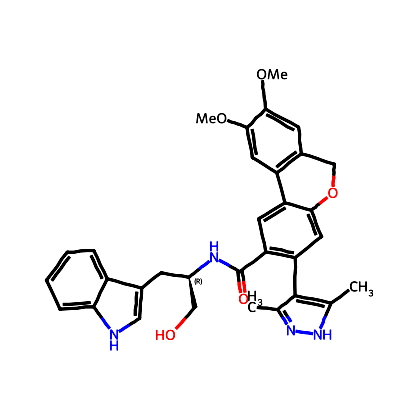 COc1cc2c(cc1OC)-c1cc(C(=O)N[C@@H](CO)Cc3c[nH]c4ccccc34)c(-c3c(C)n[nH]c3C)cc1OC2